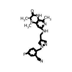 Cc1nc(NCc2cnn(Cc3ccc(F)cc3C#N)c2)cc2c1NC(=O)[C@H](C)N2C